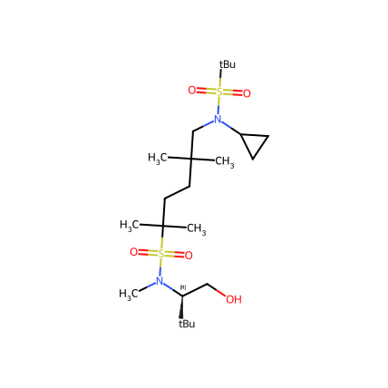 CN([C@@H](CO)C(C)(C)C)S(=O)(=O)C(C)(C)CCC(C)(C)CN(C1CC1)S(=O)(=O)C(C)(C)C